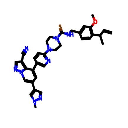 C=CC(C)c1ccc(CNC(=S)N2CCN(c3ccc(-c4cc(-c5cnn(C)c5)cn5ncc(C#N)c45)cn3)CC2)cc1OC